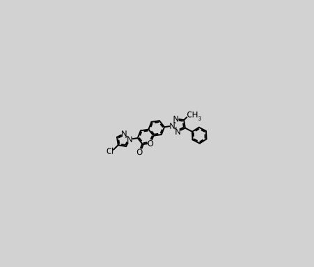 Cc1nn(-c2ccc3cc(-n4cc(Cl)cn4)c(=O)oc3c2)nc1-c1ccccc1